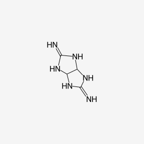 N=C1NC2NC(=N)NC2N1